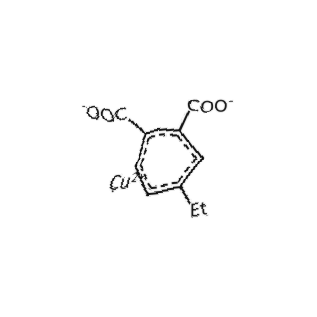 CCc1ccc(C(=O)[O-])c(C(=O)[O-])c1.[Cu+2]